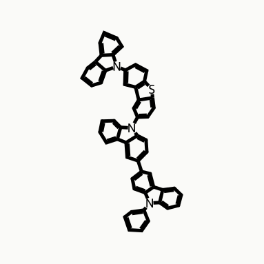 c1ccc(-n2c3ccccc3c3cc(-c4ccc5c(c4)c4ccccc4n5-c4ccc5sc6ccc(-n7c8ccccc8c8ccccc87)cc6c5c4)ccc32)cc1